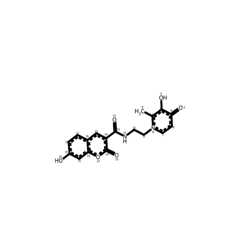 Cc1c(O)c(=O)ccn1CCNC(=O)c1cc2ccc(O)cc2oc1=O